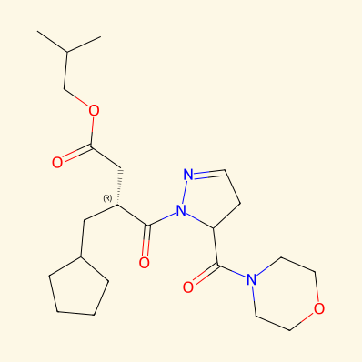 CC(C)COC(=O)C[C@@H](CC1CCCC1)C(=O)N1N=CCC1C(=O)N1CCOCC1